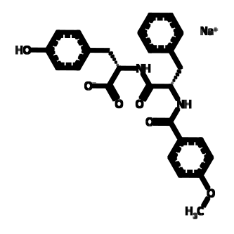 COc1ccc(C(=O)N[C@@H](Cc2ccccc2)C(=O)N[C@@H](Cc2ccc(O)cc2)C(=O)[O-])cc1.[Na+]